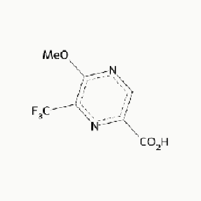 COc1ncc(C(=O)O)nc1C(F)(F)F